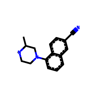 CC1CN(c2cccc3cc(C#N)ccc23)CC[N]1